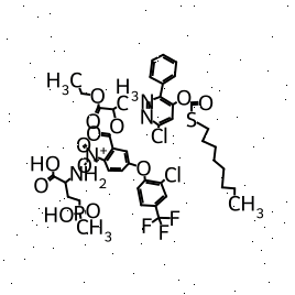 CCCCCCCCSC(=O)Oc1cc(Cl)nnc1-c1ccccc1.CCOC(=O)C(C)OC(=O)c1cc(Oc2ccc(C(F)(F)F)cc2Cl)ccc1[N+](=O)[O-].CP(=O)(O)CCC(N)C(=O)O